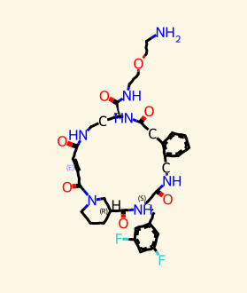 NCCOCCNC(=O)[C@@H]1CCNC(=O)/C=C/C(=O)N2CCC[C@H](C2)C(=O)N[C@@H](Cc2cc(F)cc(F)c2)C(=O)NCc2ccccc2CC(=O)N1